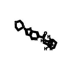 C[C@H]1[C@H](NC(=O)c2cc3sc(N4CCSCC4)cc3cn2)C2CCN1CC2